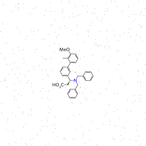 COc1cccc(-c2cccc([C@H](CC(=O)O)N(Cc3ccccc3)[C@H](C)c3ccccc3)c2)c1C